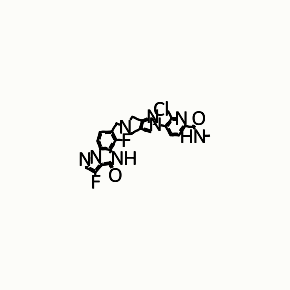 CNC(=O)c1ccc(-n2cc3c(n2)CN(Cc2ccc4c([nH]c(=O)c5c(F)cnn54)c2F)C3)c(Cl)n1